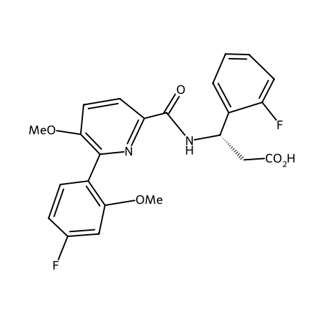 COc1cc(F)ccc1-c1nc(C(=O)N[C@@H](CC(=O)O)c2ccccc2F)ccc1OC